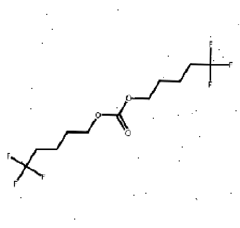 O=C(OCCCCC(F)(F)F)OCCCCC(F)(F)F